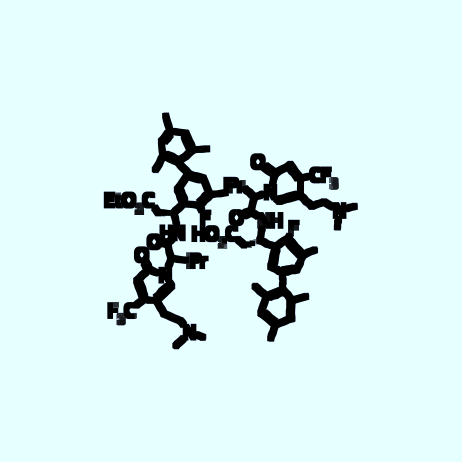 CCOC(=O)C[C@H](NC(=O)C(C(C)C)n1cc(CCN(C)C)c(C(F)(F)F)cc1=O)c1cc(-c2c(C)cc(C)cc2C)cc(C)c1F.Cc1cc(C)c(-c2cc(C)c(F)c([C@H](CC(=O)O)NC(=O)C(C(C)C)n3cc(CCN(C)C)c(C(F)(F)F)cc3=O)c2)c(C)c1